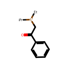 CC[S+](CC(=O)c1ccccc1)C(C)C